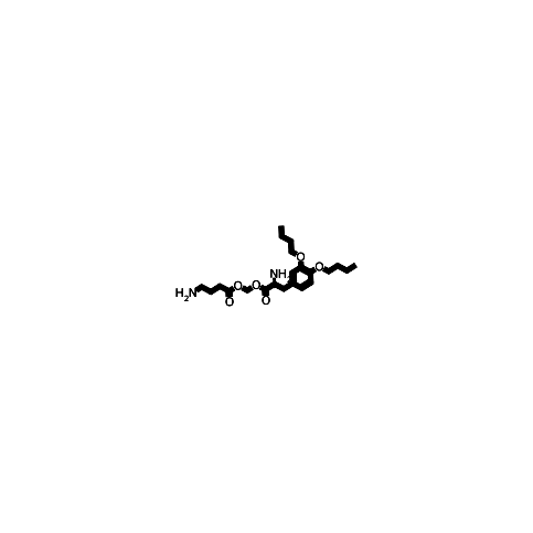 CCCCOc1ccc(C[C@H](N)C(=O)OCOC(=O)CCCN)cc1OCCCC